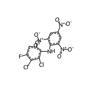 O=[N+]([O-])c1cc([N+](=O)[O-])c(Nc2c(Cl)cc(F)c(Cl)c2Cl)c([N+](=O)[O-])c1